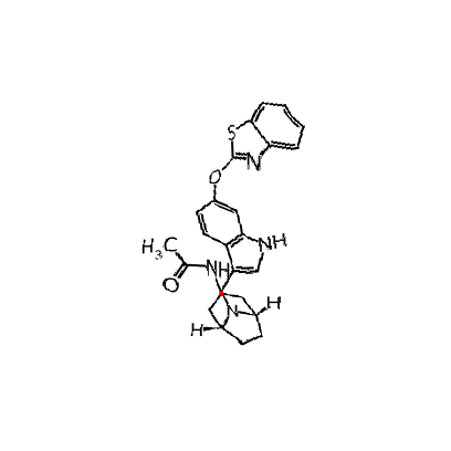 CC(=O)NC1C[C@H]2CC[C@@H](C1)N2Cc1c[nH]c2cc(Oc3nc4ccccc4s3)ccc12